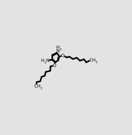 CCCCCCCCOc1cc(OCCCCCCCC)c(N)cc1N